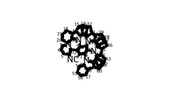 N#Cc1c(-c2ccccn2)c(-n2c3ccccc3c3ccccc32)c(-n2c3ccccc3c3ccccc32)c(-n2c3ccccc3c3ccccc32)c1-n1c2ccccc2c2ccccc21